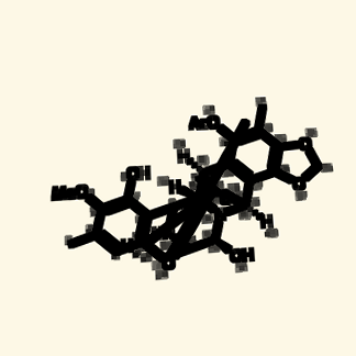 COc1c(C)cc2c(c1O)C1NC(C2)[C@H](O)N2[C@H]1[C@@H]1SCC(N)C(=O)OC[C@H]2c2c3c(c(C)c(OC(C)=O)c21)OCO3